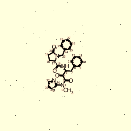 CN(C(=O)C(=O)C(Cc1ccccc1)NC(=O)[C@H]1CCC(=O)N1Cc1ccccc1)c1nccs1